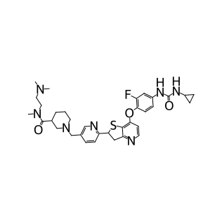 CN(C)CCN(C)C(=O)C1CCCN(Cc2ccc(C3Cc4nccc(Oc5ccc(NC(=O)NC6CC6)cc5F)c4S3)nc2)C1